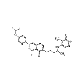 CC(CCCn1ccc2cc(-c3ccc(OC(F)F)cn3)cc(F)c2c1=O)Nc1cn[nH]c(=O)c1C(F)(F)F